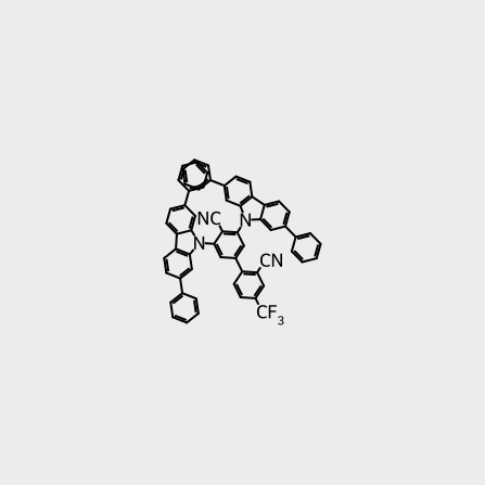 N#Cc1cc(C(F)(F)F)ccc1-c1cc(-n2c3cc(-c4ccccc4)ccc3c3ccc(-c4ccccc4)cc32)c(C#N)c(-n2c3cc(-c4ccccc4)ccc3c3ccc(-c4ccccc4)cc32)c1